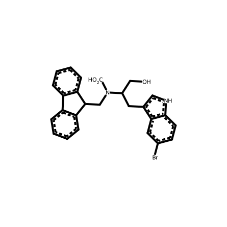 O=C(O)N(CC1c2ccccc2-c2ccccc21)C(CO)Cc1c[nH]c2ccc(Br)cc12